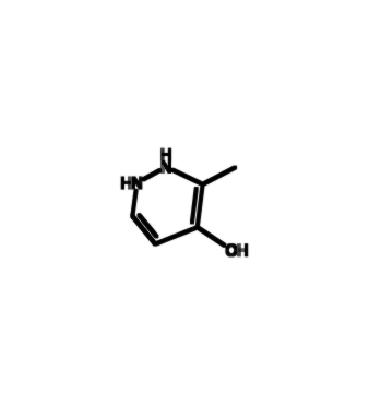 CC1=C(O)C=CNN1